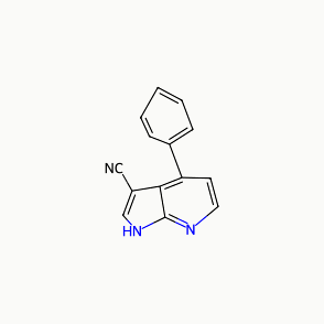 N#Cc1c[nH]c2nccc(-c3ccccc3)c12